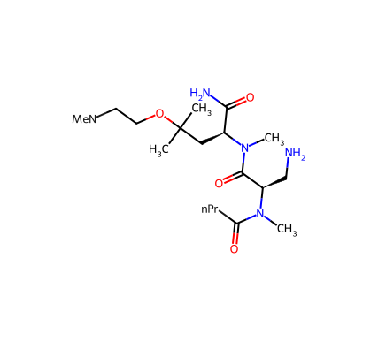 CCCC(=O)N(C)[C@H](CN)C(=O)N(C)[C@@H](CC(C)(C)OCCNC)C(N)=O